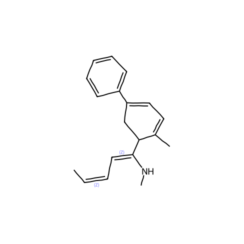 C/C=C\C=C(/NC)C1CC(c2ccccc2)=CC=C1C